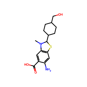 CN1c2cc(C(=O)O)c(N)cc2SC1C1CCC(CO)CC1